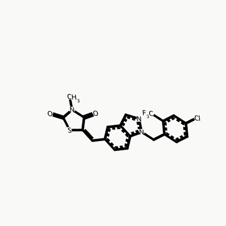 CN1C(=O)SC(=Cc2ccc3c(cnn3Cc3ccc(Cl)cc3C(F)(F)F)c2)C1=O